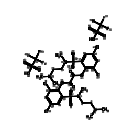 CN(C)CCN(C)S(=O)(=O)c1cc(Cl)cc(Cl)c1OC(=O)C(=O)Oc1c(Cl)cc(Cl)cc1S(=O)(=O)N(C)CCN(C)C.O=S(=O)(O)C(F)(F)F.O=S(=O)(O)C(F)(F)F